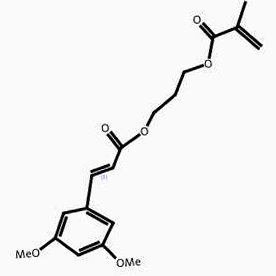 C=C(C)C(=O)OCCCOC(=O)/C=C/c1cc(OC)cc(OC)c1